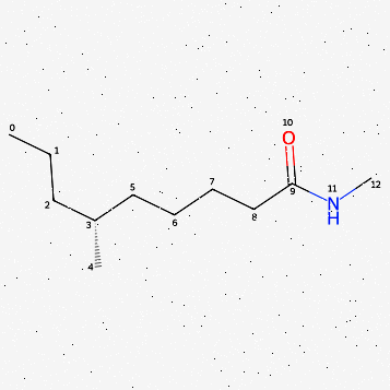 CCC[C@@H](C)CCCCC(=O)NC